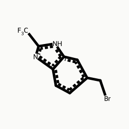 FC(F)(F)c1nc2ccc(CBr)cc2[nH]1